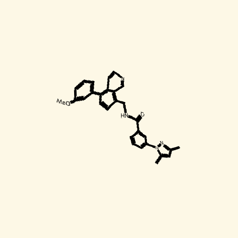 COc1cccc(-c2ccc(CNC(=O)c3cccc(-n4nc(C)cc4C)c3)c3cnccc23)c1